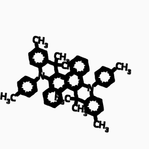 Cc1ccc(N2c3ccc(C)cc3C(C)(C)c3c2c2ccccc2c2c4c(c5ccccc5c32)N(c2ccc(C)cc2)c2ccc(C)cc2C4(C)C)cc1